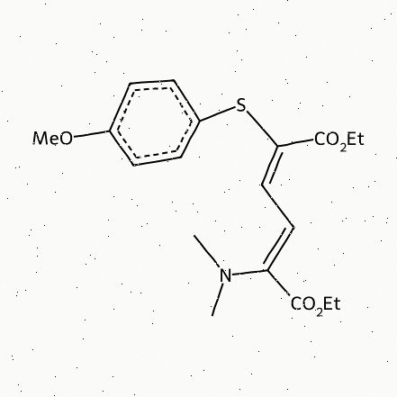 CCOC(=O)C(=CC=C(C(=O)OCC)N(C)C)Sc1ccc(OC)cc1